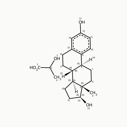 CC(O)C(=O)O.C[C@]12CC[C@@H]3c4ccc(O)cc4CC[C@H]3[C@@H]1CC[C@@H]2O